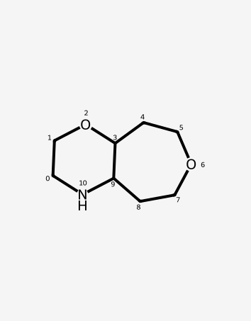 C1COC2CCOCCC2N1